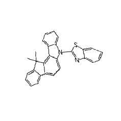 CC1(C)c2ccccc2-c2ccc3c(c21)c1ccccc1n3-c1nc2ccccc2s1